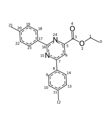 CCOC(=O)c1cc(-c2ccc(C)cc2)nc(-c2ccc(C)cc2)n1